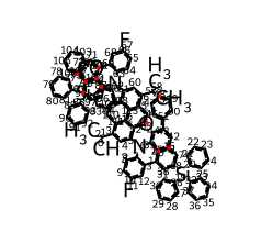 CC(C)c1cc(N(c2ccc(F)cc2-c2cccc([Si](c3ccccc3)(c3ccccc3)c3ccccc3)c2)c2cccc3c2oc2ccccc23)c2ccc3c(C(C)C)cc(N(c4ccc(F)cc4-c4cccc([Si](c5ccccc5)(c5ccccc5)c5ccccc5)c4)c4cccc5c4oc4ccccc45)c4ccc1c2c34